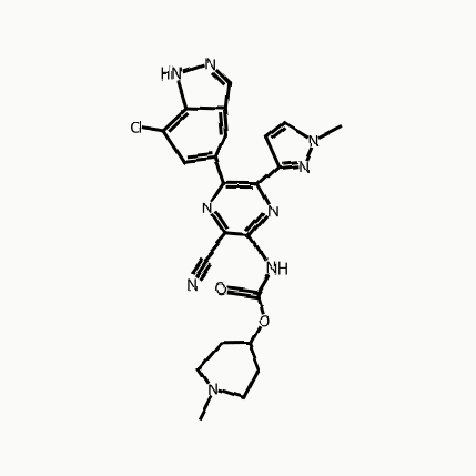 CN1CCC(OC(=O)Nc2nc(-c3ccn(C)n3)c(-c3cc(Cl)c4[nH]ncc4c3)nc2C#N)CC1